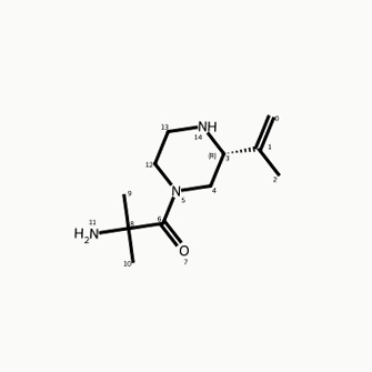 C=C(C)[C@@H]1CN(C(=O)C(C)(C)N)CCN1